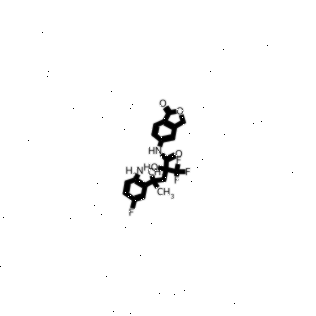 CC(C)(CC(O)(C(=O)Nc1ccc2c(c1)COC2=O)C(F)(F)F)c1cc(F)ccc1N